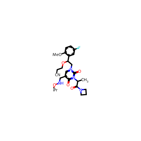 COc1ccc(F)cc1C(Cn1cc(CNOC(C)C)c(=O)n(C(C)C(=O)N2CCC2)c1=O)OCCC#N